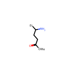 CCC(N)CCC(=O)OC